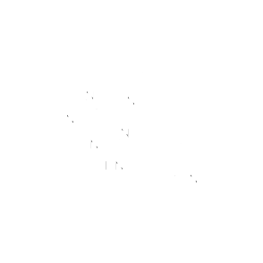 c1cnc2ccc(Nc3nc(N4CCCC4)c4nc[nH]c4n3)cc2c1